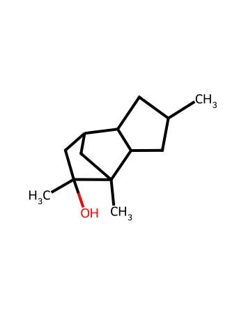 CC1CC2C3CC(C)(O)C(C)(C3)C2C1